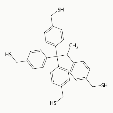 CC(c1ccc(CS)cc1)C(c1ccc(CS)cc1)(c1ccc(CS)cc1)c1ccc(CS)cc1